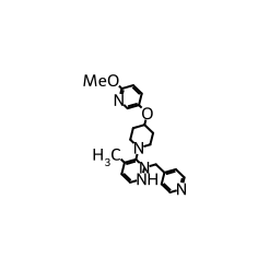 COc1ccc(OC2CCN(C3=C(C)C=CNN3Cc3ccncc3)CC2)cn1